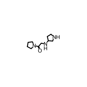 O=C(CNC1CCNC1)N1CCCC1